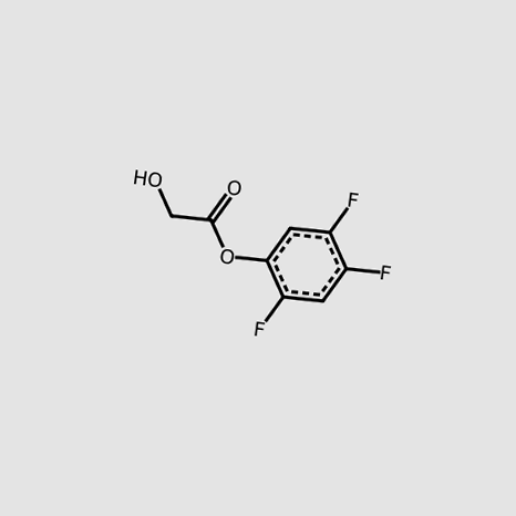 O=C(CO)Oc1cc(F)c(F)cc1F